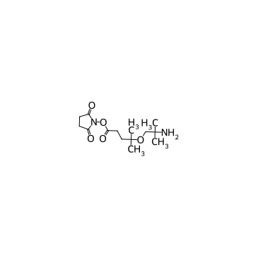 CC(C)(N)COC(C)(C)CCC(=O)ON1C(=O)CCC1=O